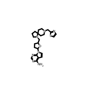 Nc1ncnc2c1ccn2C1CCC(CN2CCCC23CCN(Cc2nccs2)CC3)O1